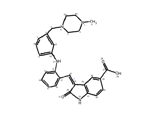 CN1CCN(Cc2cccc(Nc3ccccc3/C=C3\C(=O)Nc4ccc(C(=O)O)cc43)c2)CC1